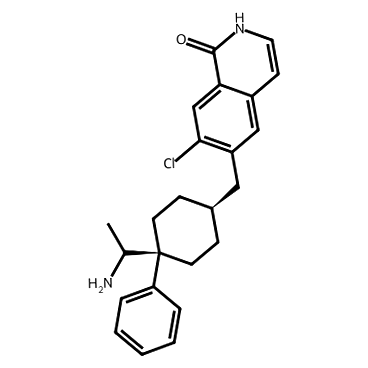 CC(N)[C@]1(c2ccccc2)CC[C@H](Cc2cc3cc[nH]c(=O)c3cc2Cl)CC1